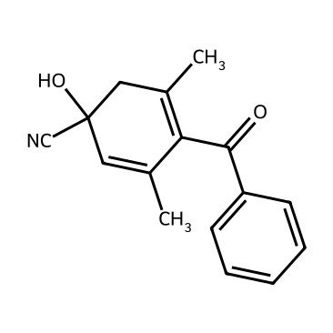 CC1=CC(O)(C#N)CC(C)=C1C(=O)c1ccccc1